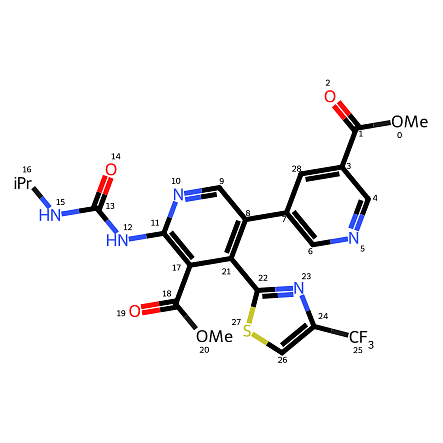 COC(=O)c1cncc(-c2cnc(NC(=O)NC(C)C)c(C(=O)OC)c2-c2nc(C(F)(F)F)cs2)c1